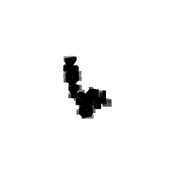 CCNC(=O)[C@H]1CCC[C@@H]1C(C#N)(c1ccccc1)C1CCN(CC2CN(c3ccc(S(=O)(=O)C4CC4)cc3)C2)CC1